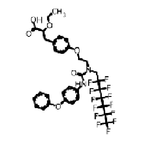 CCOC(Cc1ccc(OCCN(CC(F)(F)C(F)(F)C(F)(F)C(F)(F)C(F)(F)C(F)(F)F)C(=O)Nc2ccc(Oc3ccccc3)cc2)cc1)C(=O)O